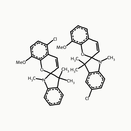 COc1ccc(Cl)c2c1OC1(C=C2)N(C)c2ccccc2C1(C)C.COc1cccc2c1OC1(C=C2)N(C)c2ccc(Cl)cc2C1(C)C